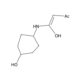 CC(=O)/C=C(\O)NC1CCC(O)CC1